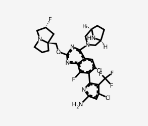 Nc1cc(Cl)c(C(F)(F)F)c(-c2c(Cl)cc3c(N4C[C@H]5CC[C@@H](C4)N5)nc(OC[C@@]45CCCN4C[C@H](F)C5)nc3c2F)n1